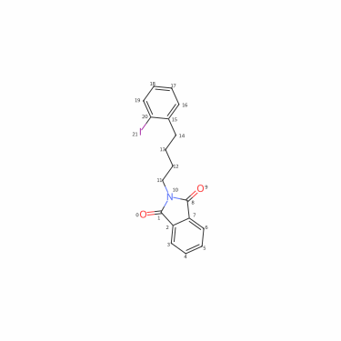 O=C1c2ccccc2C(=O)N1CCCCc1ccccc1I